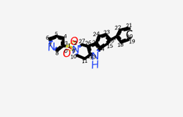 O=S(=O)(c1cccnc1)N1CCc2[nH]c3cc(-c4ccccc4)ccc3c2C1